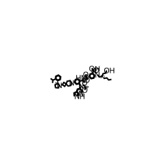 CCCC[C@H](CCO)CNc1ccc(S(=O)(=O)NC(=O)c2ccc(N3CCC4(CC3)CC(N3CCC[C@H]3c3ccccc3C(C)C)C4)cc2N2C[C@@H](C)Oc3nc4[nH]ccc4cc32)cc1[N+](=O)[O-]